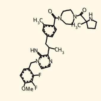 COc1ccc(Cn2ccnc(C(C)Cc3ccc(C(=O)N4CCN(C(=O)C5(C)CCCN5)CC4)c(C)c3)c2=N)c(F)c1F